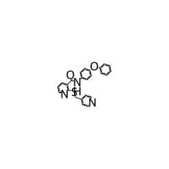 O=C(Nc1ccc(Oc2ccccc2)cc1)c1cccnc1SCc1ccncc1